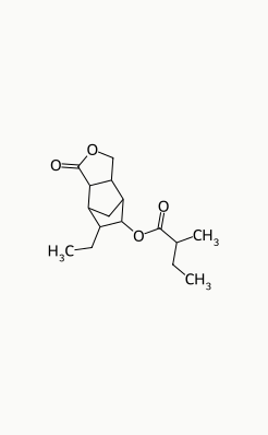 CCC(C)C(=O)OC1C2CC(C1CC)C1C(=O)OCC21